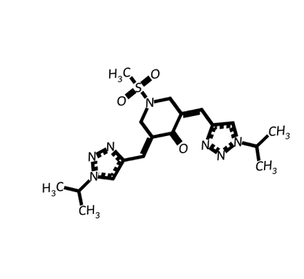 CC(C)n1cc(C=C2CN(S(C)(=O)=O)CC(=Cc3cn(C(C)C)nn3)C2=O)nn1